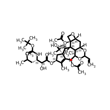 C=CC1O[C@H]2C[C@H]3OC[C@@]3(OC(C)=O)[C@H]3[C@H](O)[C@]4(C(C)(C)O)C[C@H](OC(=O)[C@H](O)[C@H](CC(C)C)NC(=O)OC(C)(C)C)C(C)=C4[C@H](OC(C)=O)[C@H](O1)[C@]23C